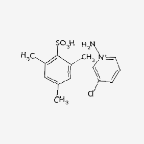 Cc1cc(C)c(S(=O)(=O)O)c(C)c1.N[n+]1cccc(Cl)c1